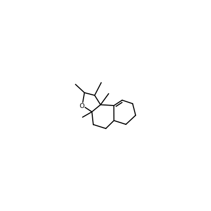 CC1OC2(C)CCC3CCCC=C3C2(C)C1C